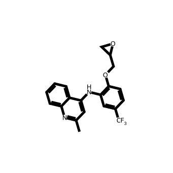 Cc1cc(Nc2cc(C(F)(F)F)ccc2OCC2CO2)c2ccccc2n1